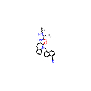 CN[C@@H](C)C(=O)N[C@H]1CCc2ccccc2N(Cc2cccc3c(C#N)cccc23)C1=O